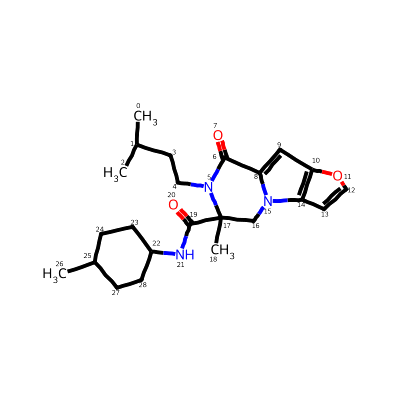 CC(C)CCN1C(=O)c2cc3occc3n2CC1(C)C(=O)NC1CCC(C)CC1